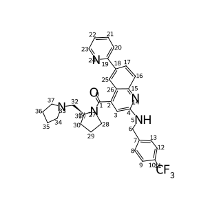 O=C(c1cc(NCc2ccc(C(F)(F)F)cc2)nc2ccc(-c3ccccn3)cc12)N1CCC[C@H]1CN1CCCC1